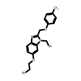 CC(C)CCOc1ccc2nc(COc3ccc(C(F)(F)F)cc3)n(CC(C)C)c2c1